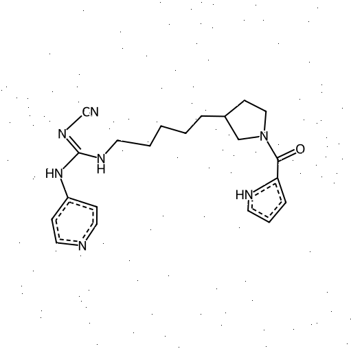 N#CN=C(NCCCCCC1CCN(C(=O)c2ccc[nH]2)C1)Nc1ccncc1